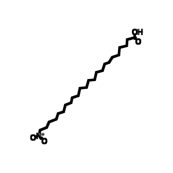 O=C(O)CCCCCCCCCCCCCCCCCCCCCCC[N+](=O)[O-]